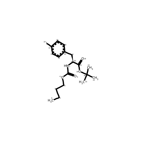 CCCCOC(=O)N[C@@H](Cc1ccc(I)cc1)C(=O)OC(C)(C)C